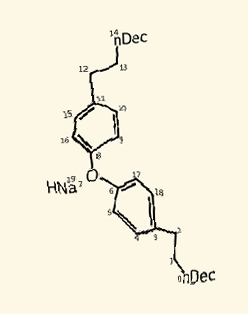 CCCCCCCCCCCCc1ccc(Oc2ccc(CCCCCCCCCCCC)cc2)cc1.[NaH]